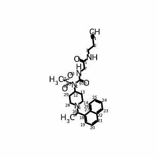 C#CCCNC(=O)CNC(=O)N(C1CCN(C(C)c2cccc3ccccc23)CC1)S(C)(=O)=O